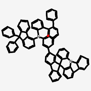 c1ccc(-c2ccccc2-c2ccccc2N(c2cccc(-c3ccc4c(c3)C3(c5ccccc5-4)c4ccccc4-n4c5ccccc5c5cccc3c54)c2)c2cccc3c2-c2ccccc2C3(c2ccccc2)c2ccccc2)cc1